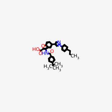 CCCc1ccc(-n2cc(-c3ccc4oc(C(=O)O)c(NC(=O)c5ccc(C(C)(C)C)cc5)c4c3)cn2)cc1